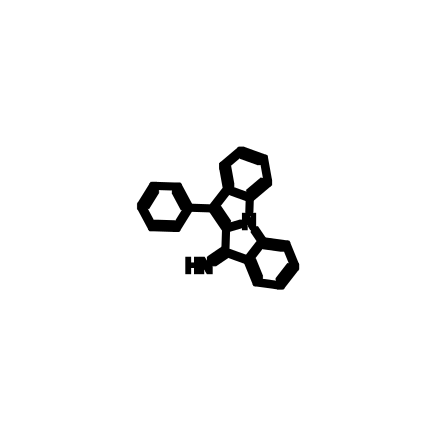 N=C1c2ccccc2-n2c1c(-c1ccccc1)c1ccccc12